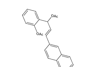 CC(=O)Oc1ccccc1C(C=Cc1ccc2ccccc2c1)OC(C)=O